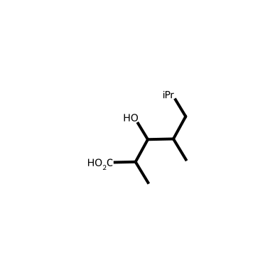 CC(C)CC(C)C(O)C(C)C(=O)O